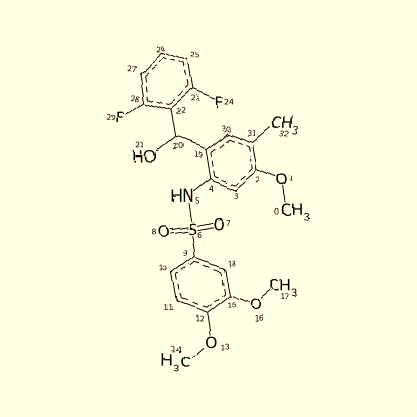 COc1cc(NS(=O)(=O)c2ccc(OC)c(OC)c2)c(C(O)c2c(F)cccc2F)cc1C